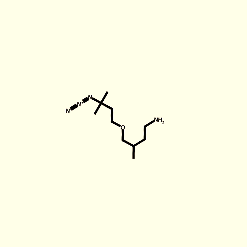 CC(CCN)COCCC(C)(C)N=[N+]=[N-]